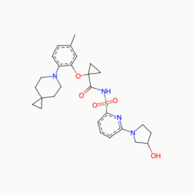 Cc1ccc(N2CCC3(CC2)CC3)c(OC2(C(=O)NS(=O)(=O)c3cccc(N4CCC(O)C4)n3)CC2)c1